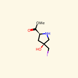 COC(=O)[C@@H]1C[C@@](O)(CI)CN1